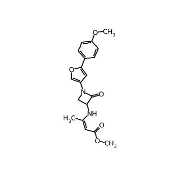 COC(=O)/C=C(/C)NC1CN(c2coc(-c3ccc(OC)cc3)c2)C1=O